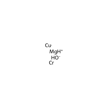 [Cr].[Cu].[MgH+].[OH-]